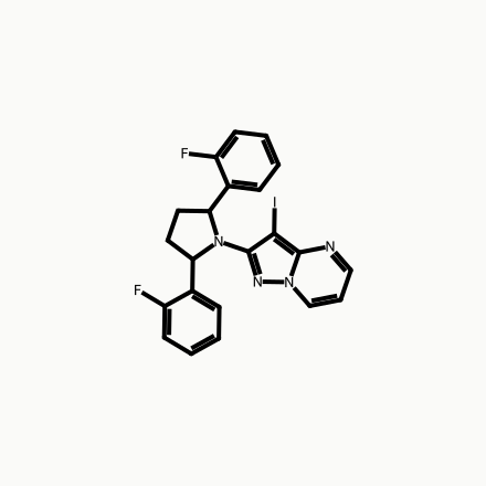 Fc1ccccc1C1CCC(c2ccccc2F)N1c1nn2cccnc2c1I